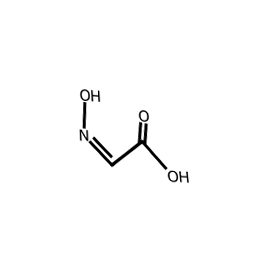 O=C(O)/C=N\O